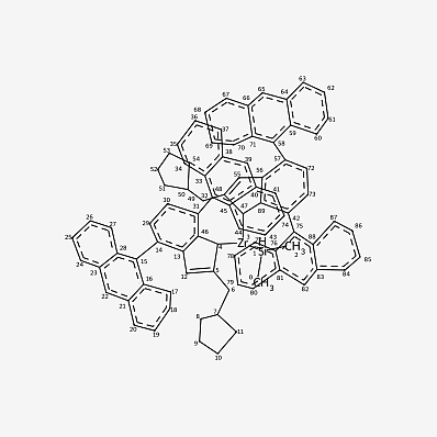 C[SiH](C)[Zr]([CH]1C(CC2CCCC2)=Cc2c(-c3c4ccccc4cc4ccccc34)ccc(-c3c4ccccc4cc4ccccc34)c21)[CH]1C(CC2CCCC2)=Cc2c(-c3c4ccccc4cc4ccccc34)ccc(-c3c4ccccc4cc4ccccc34)c21